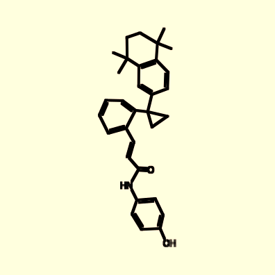 CC1(C)CCC(C)(C)c2cc(C3(c4ccccc4C=CC(=O)Nc4ccc(O)cc4)CC3)ccc21